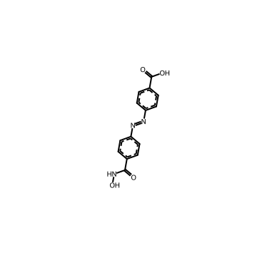 O=C(O)c1ccc(N=Nc2ccc(C(=O)NO)cc2)cc1